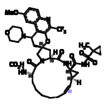 COc1ccc2nc(C(F)(F)F)c3c(c2c1)C(N1CCOCC1)C[C@]1(C[C@H]2C(=O)N[C@]4(C(=O)NS(=O)(=O)C5(C)CC5)C[C@H]4/C=C\CCCCC[C@H](NC(=O)O)C(=O)N2C1)O3